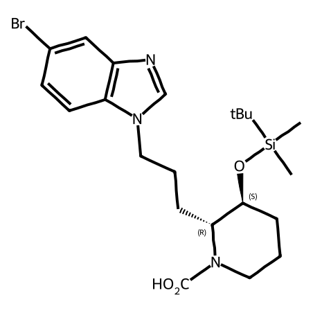 CC(C)(C)[Si](C)(C)O[C@H]1CCCN(C(=O)O)[C@@H]1CCCn1cnc2cc(Br)ccc21